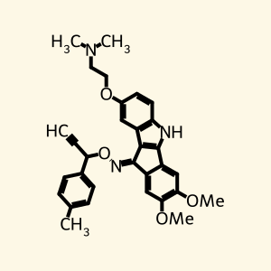 C#CC(ON=C1c2cc(OC)c(OC)cc2-c2[nH]c3ccc(OCCN(C)C)cc3c21)c1ccc(C)cc1